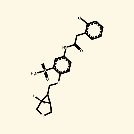 NS(=O)(=O)c1cc(NC(=O)Cc2ccccc2Cl)ccc1OCC1C2COC[C@@H]21